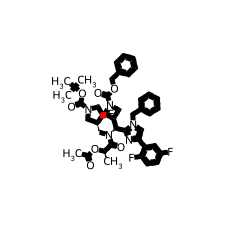 CC(=O)O[C@@H](C)C(=O)N(C[C@@H]1CN(C(=O)OC(C)(C)C)C[C@@H]1F)[C@@H](c1nc(-c2cc(F)ccc2F)cn1Cc1ccccc1)C1CN(C(=O)OCc2ccccc2)C1